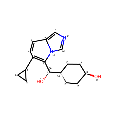 O[C@H](c1c(C2CC2)ccc2cncn12)[C@H]1CC[C@H](O)CC1